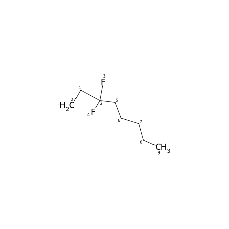 [CH2]CC(F)(F)CCCCC